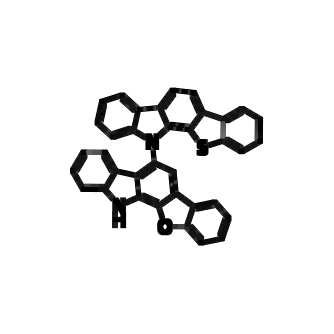 c1ccc2c(c1)[nH]c1c3oc4ccccc4c3cc(-n3c4ccccc4c4ccc5c6ccccc6sc5c43)c21